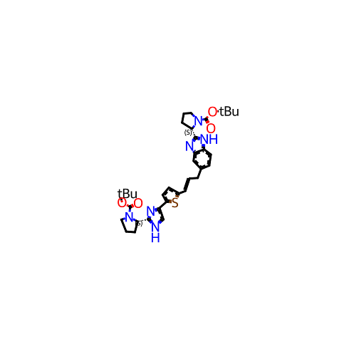 CC(C)(C)OC(=O)N1CCC[C@H]1c1nc(-c2ccc(C=CCc3ccc4[nH]c([C@@H]5CCCN5C(=O)OC(C)(C)C)nc4c3)s2)c[nH]1